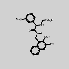 COc1cccc(C(NCC(=O)O)C(=O)N(C)Cc2c(OC)c(C#N)cc3ccccc23)c1